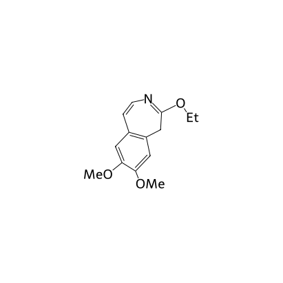 CCOC1=NC=Cc2cc(OC)c(OC)cc2C1